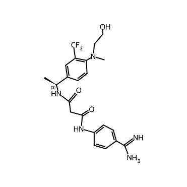 C[C@H](NC(=O)CC(=O)Nc1ccc(C(=N)N)cc1)c1ccc(N(C)CCO)c(C(F)(F)F)c1